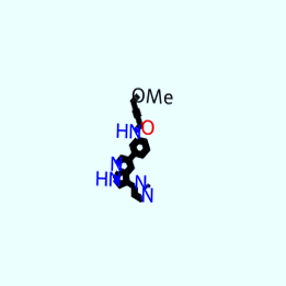 COCC#CC(=O)Nc1cccc(-c2cnc3[nH]cc(-c4ccncn4)c3c2)c1